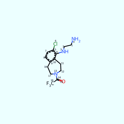 NCCNc1c(Cl)ccc2c1CCN(C(=O)C(F)(F)F)CC2